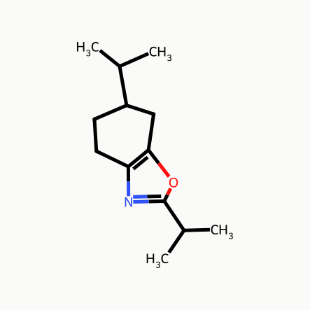 CC(C)c1nc2c(o1)CC(C(C)C)CC2